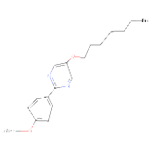 CCCCCCCCCCOc1ccc(-c2ncc(OCCCCCCC(C)CC)cn2)cc1